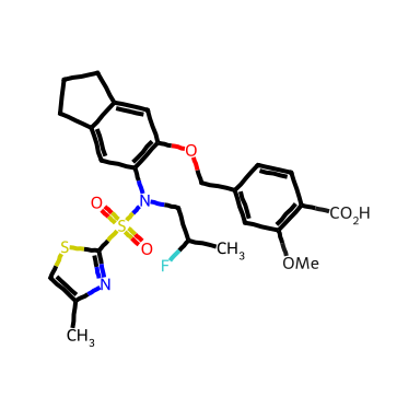 COc1cc(COc2cc3c(cc2N(CC(C)F)S(=O)(=O)c2nc(C)cs2)CCC3)ccc1C(=O)O